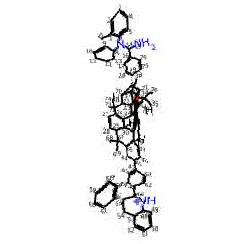 Cc1ccccc1N(C1C=CCCC1)C(N)C1=CC[C@@H](C2C=C3C4C5C6=C7C=CC8[C@H]6C6=C([C@H]5C3(C)C)C(C)(C3=CC(C5=CC[C@H]([C@@H]9NC%10C=CC=CC%10C[C@@H]9c9ccccc9)C=C5)CC([C@@H]36)C8(C)C)C2[C@@H]4C7(C)C)C=C1